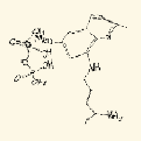 COc1cc(NCCCC(C)N)c2nc(C)ccc2c1.O=P(O)(O)OP(=O)(O)O